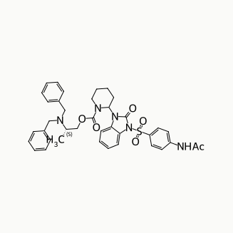 CC(=O)Nc1ccc(S(=O)(=O)n2c(=O)n(C3CCCCN3C(=O)OC[C@H](C)N(Cc3ccccc3)Cc3ccccc3)c3ccccc32)cc1